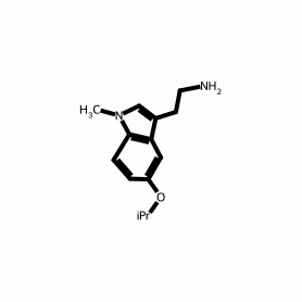 CC(C)Oc1ccc2c(c1)c(CCN)cn2C